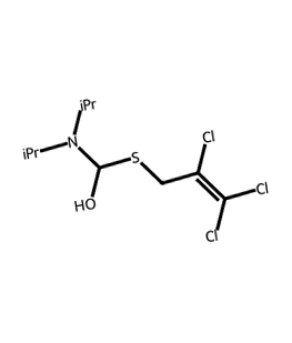 CC(C)N(C(C)C)C(O)SCC(Cl)=C(Cl)Cl